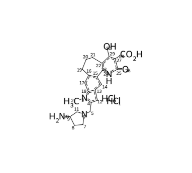 Cl.Cl.Cn1c(CN2CCC(N)C2)cc2cc3c(cc21)CCCc1c-3[nH]c(=O)c(C(=O)O)c1O